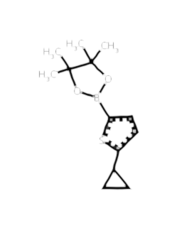 CC1(C)OB(c2ccc(C3CC3)s2)OC1(C)C